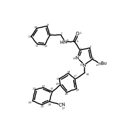 CCCCc1cc(C(=O)NCc2ccccc2)nn1Cc1ccc(-c2ccccc2C#N)cc1